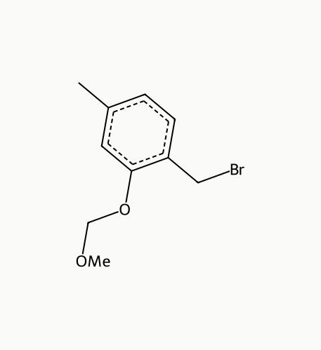 COCOc1cc(C)ccc1CBr